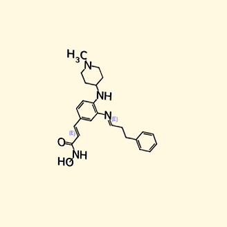 CN1CCC(Nc2ccc(/C=C/C(=O)NO)cc2/N=C/CCc2ccccc2)CC1